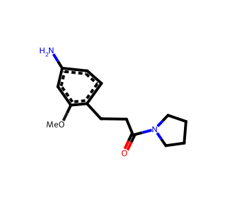 COc1cc(N)ccc1CCC(=O)N1CCCC1